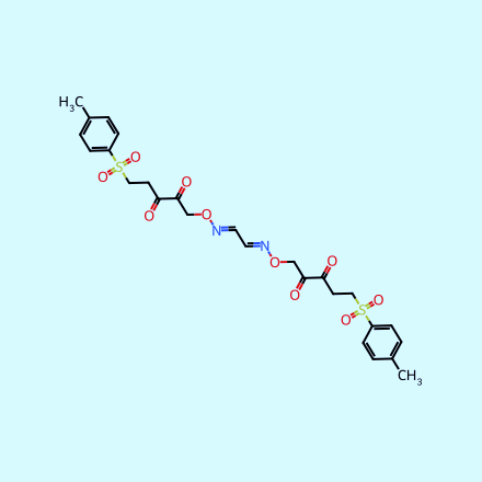 Cc1ccc(S(=O)(=O)CCC(=O)C(=O)CO/N=C/C=N/OCC(=O)C(=O)CCS(=O)(=O)c2ccc(C)cc2)cc1